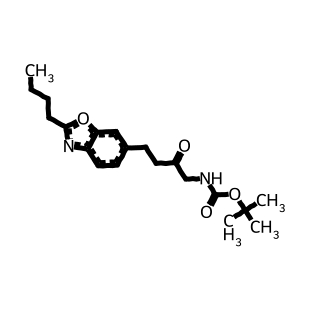 CCCCc1nc2ccc(CCC(=O)CNC(=O)OC(C)(C)C)cc2o1